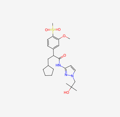 COc1cc(C(CC2CCCC2)C(=O)Nc2ccn(CC(C)(C)O)n2)ccc1S(C)(=O)=O